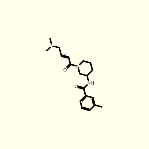 Cc1cccc(C(=O)NC2CCCN(C(=O)/C=C/CN(C)C)C2)c1